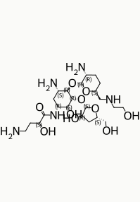 NCC[C@H](O)C(=O)N[C@@H]1C[C@H](N)[C@@H](O[C@H]2O[C@H](CNCCO)CC[C@H]2N)[C@H](O[C@@H]2O[C@H](CO)C[C@H]2O)[C@H]1O